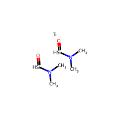 CN(C)[SiH]=O.CN(C)[SiH]=O.[Ti]